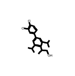 CC(C)c1cc(-c2ccc(Cl)c(Cl)c2)cc(C(C)C)c1C(C)CO